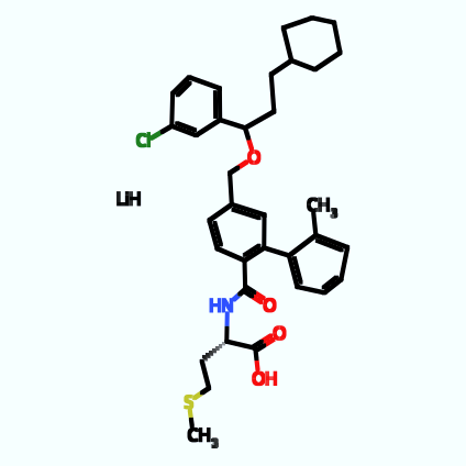 CSCC[C@H](NC(=O)c1ccc(COC(CCC2CCCCC2)c2cccc(Cl)c2)cc1-c1ccccc1C)C(=O)O.[LiH]